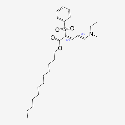 CCCCCCCCCCCCOC(=O)/C(=C/C=C/N(C)CC)S(=O)(=O)c1ccccc1